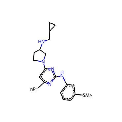 CCCc1cc(N2CCC(NCC3CC3)C2)nc(Nc2cccc(SC)c2)n1